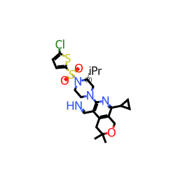 CC(C)[C@@H]1CN(c2nc(C3CC3)c3c(c2C=N)CC(C)(C)OC3)CCN1S(=O)(=O)c1ccc(Cl)s1